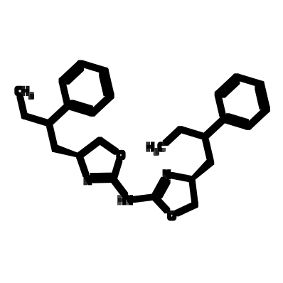 CCC(C[C@H]1COC(NC2=N[C@@H](CC(CC)c3ccccc3)CO2)=N1)c1ccccc1